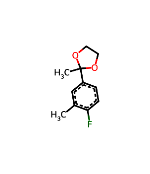 Cc1cc(C2(C)OCCO2)ccc1F